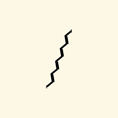 IC=CC=CC=CC=CI